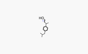 CC(C)Cc1ccc(C(C)/C=C/O)cc1